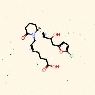 O=C(O)CCC/C=C\CN1C(=O)CCC[C@@H]1/C=C/C(O)Cc1ccc(Cl)o1